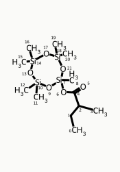 CCC(C)C(=O)O[Si]1(C)O[Si](C)(C)O[Si](C)(C)O[Si](C)(C)O1